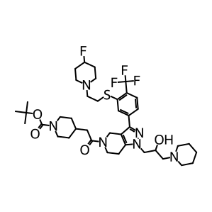 CC(C)(C)OC(=O)N1CCC(CC(=O)N2CCc3c(c(-c4ccc(C(F)(F)F)c(SCCN5CCC(F)CC5)c4)nn3CC(O)CN3CCCCC3)C2)CC1